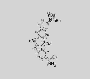 CCCCc1oc2ccc(C(N)=O)cc2c1C(=O)c1ccc(/C=C\CN(CCCC)CCCC)cc1